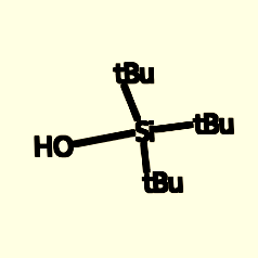 CC(C)(C)[Si](O)(C(C)(C)C)C(C)(C)C